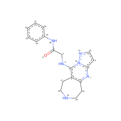 O=C(CNc1c2c(nc3ccnn13)CCNCC2)Nc1ccccc1